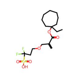 C=C(COCCC(F)(F)S(=O)(=O)O)C(=O)OC1(CC)CCCCCCC1